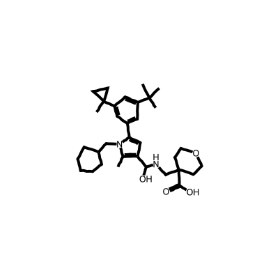 Cc1c(C(O)NCC2(C(=O)O)CCOCC2)cc(-c2cc(C(C)(C)C)cc(C3(C)CC3)c2)n1CC1CCCCC1